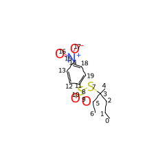 CCCC(C)(CC)SS(=O)(=O)c1ccc([N+](=O)[O-])cc1